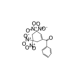 O=C(C1=CC([N+](=O)[O-])([N+](=O)[O-])CC([N+](=O)[O-])([N+](=O)[O-])C1)c1ccccc1